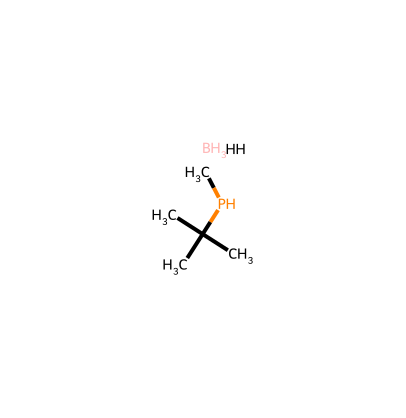 B.CPC(C)(C)C.[HH]